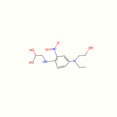 CCN(CCO)c1ccc(NCC(O)O)c([N+](=O)[O-])c1